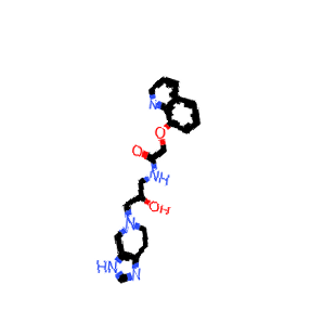 O=C(COc1cccc2cccnc12)NCC(O)CN1CCc2nc[nH]c2C1